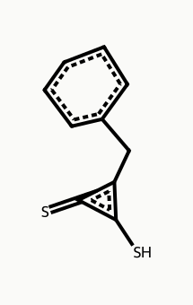 S=c1c(S)c1Cc1ccccc1